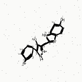 Oc1ccc2nc(-c3n[nH]c(-c4cccc(Br)c4)c3O)[nH]c2c1